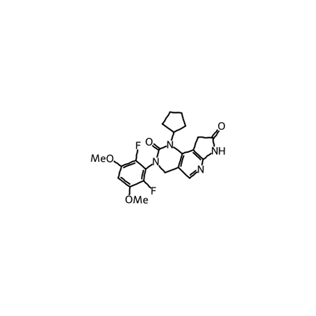 COc1cc(OC)c(F)c(N2Cc3cnc4c(c3N(C3CCCC3)C2=O)CC(=O)N4)c1F